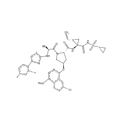 C=C[C@@H]1C[C@]1(NC(=O)[C@@H]1C[C@@H](Oc2ncc(OC)c3ccc(Cl)cc23)CN1C(=O)[C@@H](Nc1nc(-c2ccc(F)cc2F)cs1)C(C)(C)C)C(=O)NS(=O)(=O)C1CC1